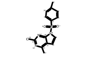 Cc1ccc(S(=O)(=O)n2ccc3c(C)nc(Cl)nc32)cc1